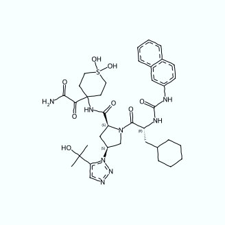 CC(C)(O)c1cnnn1[C@H]1C[C@@H](C(=O)NC2(C(=O)C(N)=O)CCS(O)(O)CC2)N(C(=O)[C@@H](CC2CCCCC2)NC(=O)Nc2ccc3ccccc3c2)C1